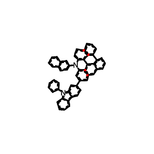 c1ccc(-c2cccc3cccc(-c4ccccc4N(c4cccc(-c5ccc6c7ccccc7n(-c7ccccc7)c6c5)c4)c4ccc5ccccc5c4)c23)cc1